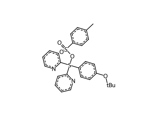 Cc1ccc(S(=O)(=O)OS(c2ccc(OC(C)(C)C)cc2)(c2ccccn2)c2ccccn2)cc1